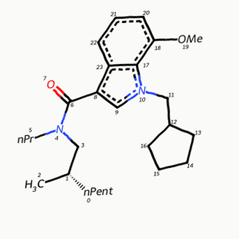 CCCCC[C@H](C)CN(CCC)C(=O)c1cn(CC2CCCC2)c2c(OC)cccc12